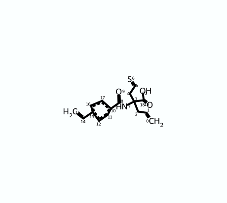 C=CCC(CC=S)(NC(=O)c1ccc(C=C)cc1)C(=O)O